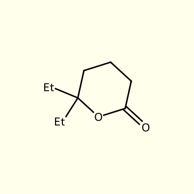 CCC1(CC)CCCC(=O)O1